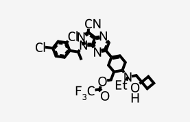 CCN(CC1(O)CCC1)C1CC=C(c2cnc3c(C#N)nn(C(C)c4ccc(Cl)cc4Cl)c3n2)CC1COC(=O)C(F)(F)F